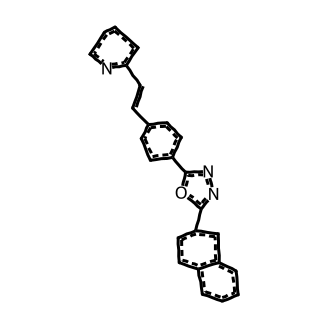 C(=Cc1ccccn1)c1ccc(-c2nnc(-c3ccc4ccccc4c3)o2)cc1